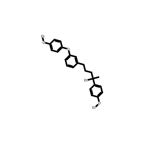 CCOc1ccc(Oc2cccc(CCCC(C)(CC)c3ccc(OCC)cc3)c2)cc1